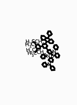 CC(C)(C)c1cc(-c2cc(-c3cc4c5c(c3)N(c3ccccc3)c3cc(N(c6ccccc6)c6ccccc6)ccc3B5c3ccccc3N4c3ccccc3)cc(-c3c4ccccc4c(-c4ccccc4)c4ccccc34)c2)cc(C(C)(C)C)c1